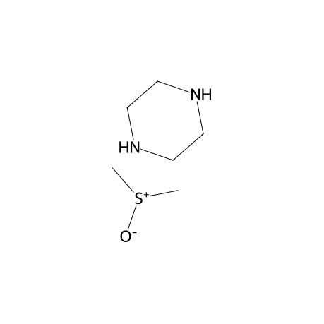 C1CNCCN1.C[S+](C)[O-]